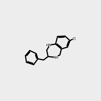 Clc1ccc2c(c1)CNC(Cc1ccccc1)CN2